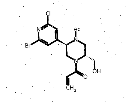 C=CC(=O)N1C[C@@H](c2cc(Cl)nc(Br)c2)N(C(C)=O)C[C@@H]1CO